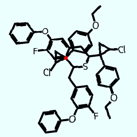 CCOc1ccc(C2(C(Cc3ccc(F)c(Oc4ccccc4)c3)SC(Cc3ccc(F)c(Oc4ccccc4)c3)C3(c4ccc(OCC)cc4)CC3Cl)CC2Cl)cc1